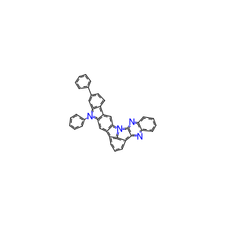 c1ccc(-c2ccc3c4cc5c(cc4n(-c4ccccc4)c3c2)c2cccc3c4nc6ccccc6nc4n5c23)cc1